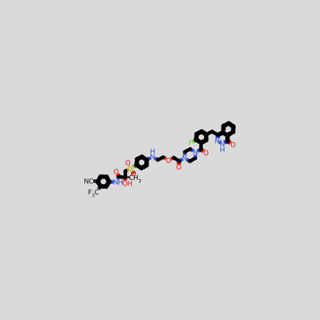 C[C@](O)(CS(=O)(=O)c1ccc(NCCOCC(=O)N2CCN(C(=O)c3cc(Cc4n[nH]c(=O)c5ccccc45)ccc3F)CC2)cc1)C(=O)Nc1ccc(C#N)c(C(F)(F)F)c1